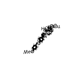 COc1ccc(COc2ccc(-n3ccc(N4CCO[C@H](C(C)(O)C(=O)OC(C)(C)C)C4=O)n3)cn2)cc1